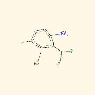 Cc1ccc(N)c(C(F)F)c1S